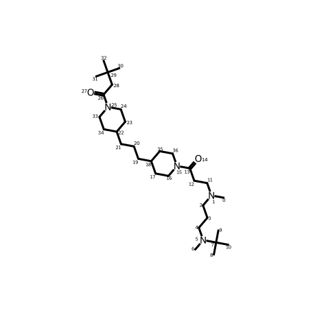 CN(CCCN(C)C(C)(C)C)CCC(=O)N1CCC(CCCC2CCN(C(=O)CC(C)(C)C)CC2)CC1